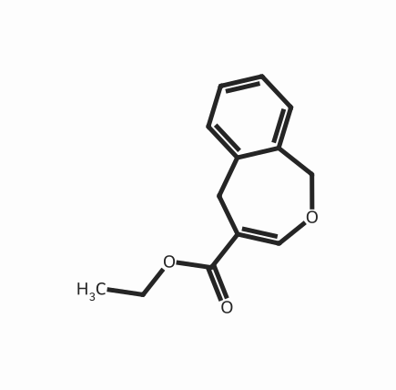 CCOC(=O)C1=COCc2ccccc2C1